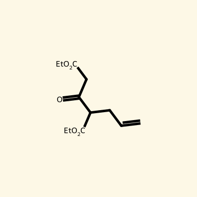 C=CCC(C(=O)CC(=O)OCC)C(=O)OCC